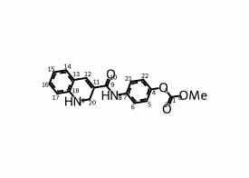 COC(=O)Oc1ccc(NC(=O)C2=Cc3ccccc3NC2)cc1